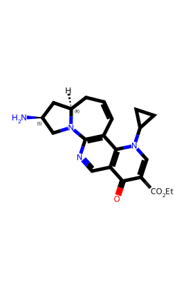 CCOC(=O)c1cn(C2CC2)c2c3c(ncc2c1=O)N1C[C@@H](N)C[C@H]1CC=C3